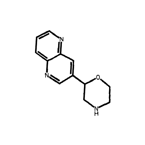 c1cnc2cc(C3CNCCO3)cnc2c1